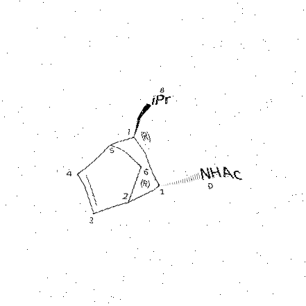 CC(=O)N[C@@H]1C2C=CC(C2)[C@H]1C(C)C